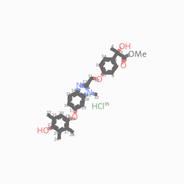 COC(=O)C(C)(O)c1ccc(OCc2nc3ccc(Oc4cc(C)c(O)c(C)c4C)cc3n2C)cc1.Cl